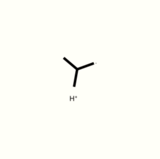 [CH2]C(C)C.[H+]